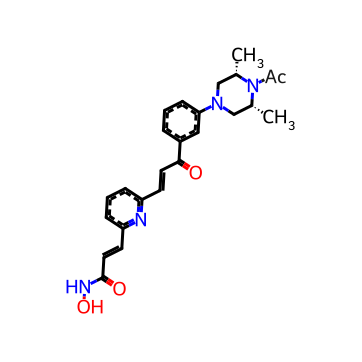 CC(=O)N1[C@H](C)CN(c2cccc(C(=O)C=Cc3cccc(C=CC(=O)NO)n3)c2)C[C@@H]1C